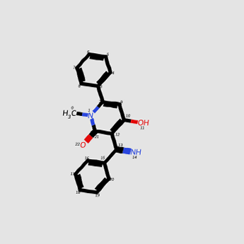 Cn1c(-c2ccccc2)cc(O)c(C(=N)c2ccccc2)c1=O